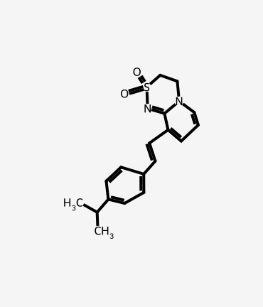 CC(C)c1ccc(C=CC2=CC=CN3CCS(=O)(=O)N=C23)cc1